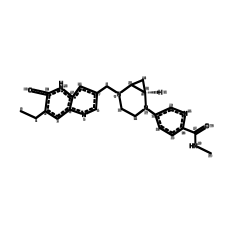 CCc1cc2ncc(CN3CCN(c4ccc(C(=O)NC)nc4)[C@@H]4CC43)cc2[nH]c1=O